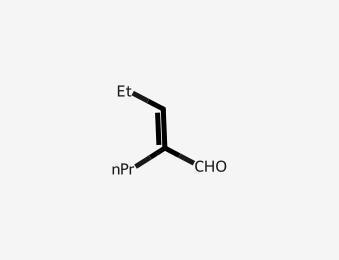 CC/C=C(/C=O)CCC